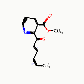 C/C=C\C=C\C(=O)c1ncccc1C(=O)OC